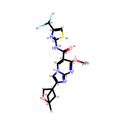 CC(C)Oc1nc2nc(C34COC(C)(C3)C4)cn2cc1C(=O)Nc1nc(C(F)F)cs1